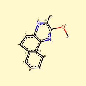 COc1nc2c(ccc3ccccc32)nc1C